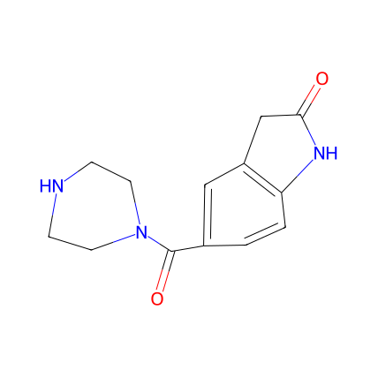 O=C1Cc2cc(C(=O)N3CCNCC3)ccc2N1